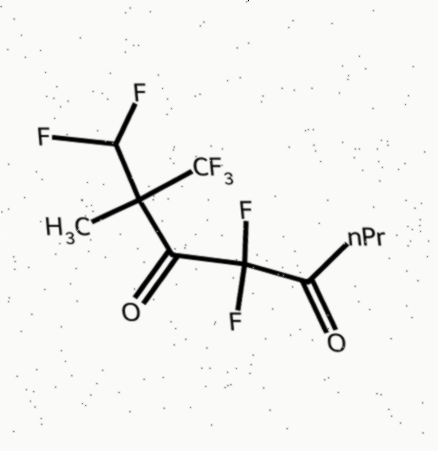 CCCC(=O)C(F)(F)C(=O)C(C)(C(F)F)C(F)(F)F